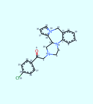 O=C(CN1CCN2c3ccccc3Cn3cccc3C2C1)c1ccc(Cl)cc1